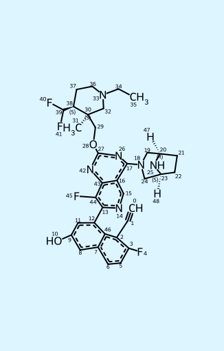 C#Cc1c(F)ccc2cc(O)cc(-c3ncc4c(N5C[C@H]6CC[C@@H](C5)N6)nc(OC[C@]5(C)CN(CC)CC[C@@H]5C(F)F)nc4c3F)c12